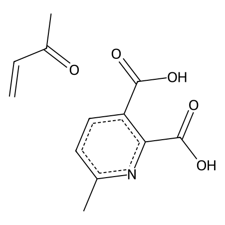 C=CC(C)=O.Cc1ccc(C(=O)O)c(C(=O)O)n1